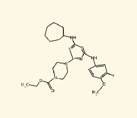 CCOC(=O)N1CCN(c2nc(Nc3ccc(OC)c(F)c3)nc(NC3CCCCCC3)n2)CC1